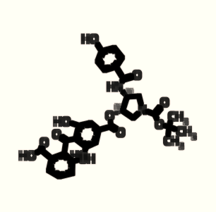 CC(C)(C)OC(=O)N1C[C@H](NC(=O)c2ccc(O)cc2)[C@@H](OC(=O)c2cc(O)c(C(=O)c3c(O)cccc3C(=O)O)c(O)c2)C1